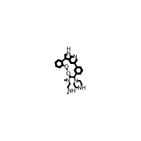 CNCCN(C)C(=O)C(c1cccc(-c2cnc3[nH]cc(-c4ccccc4OC)c3c2)c1)N1CCNCC1